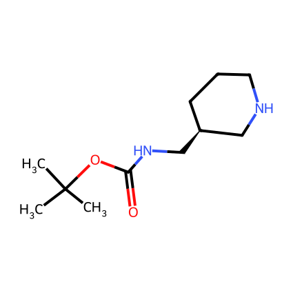 CC(C)(C)OC(=O)NC[C@H]1CCCNC1